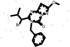 COc1cc2nc(C(Br)C(C)C)n(Cc3ccccc3)c(=O)n2n1